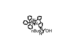 CCCCc1ncc(CO)n1-c1ccc(-c2ccccc2-c2nnn(C(c3ccccc3)(c3ccccc3)c3ccccc3)n2)cc1